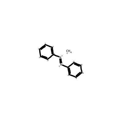 C.c1ccc(N=Nc2ccccc2)cc1